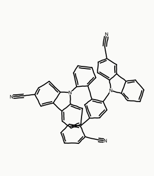 N#Cc1ccc2c(c1)c1ccccc1n2-c1ccccc1-c1cc(-c2ccccc2C#N)ccc1-n1c2ccccc2c2cc(C#N)ccc21